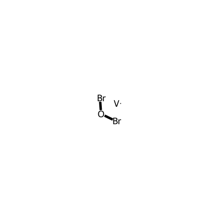 BrOBr.[V]